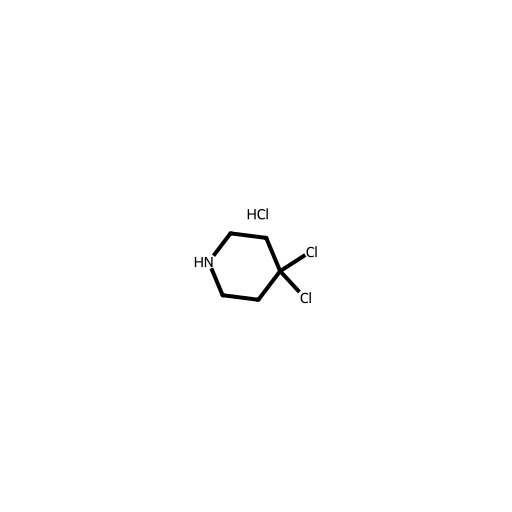 Cl.ClC1(Cl)CCNCC1